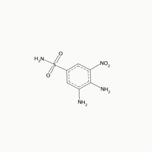 Nc1cc(S(N)(=O)=O)cc([N+](=O)[O-])c1N